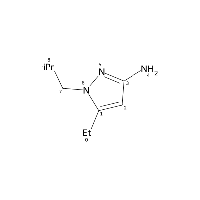 CCc1cc(N)nn1C[C](C)C